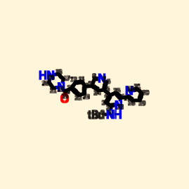 CC(C)(C)Nc1cc(-c2cncc(-c3ccc(C(=O)N4CCNCC4)cc3)c2)cc(-c2ccccn2)n1